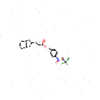 O=C(CCC1CC2CCCC(C2)C1)OCc1ccc([NH+]([O-])SC(F)(F)F)cc1